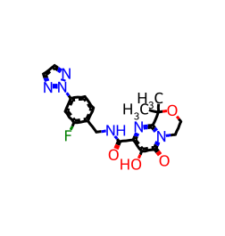 CC1(C)OCCn2c1nc(C(=O)NCc1ccc(-n3nccn3)cc1F)c(O)c2=O